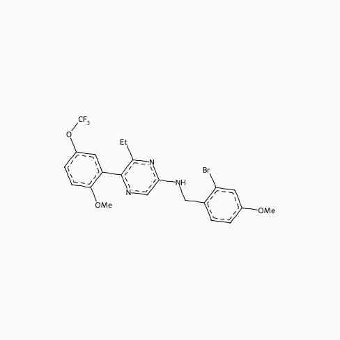 CCc1nc(NCc2ccc(OC)cc2Br)cnc1-c1cc(OC(F)(F)F)ccc1OC